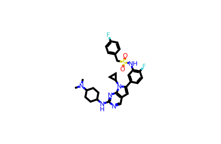 CN(C)C1CCC(Nc2ncc3cc(-c4ccc(F)c(NS(=O)(=O)Cc5ccc(F)cc5)c4)n(C4CC4)c3n2)CC1